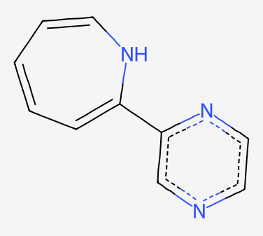 C1=CC=C(c2cnccn2)NC=C1